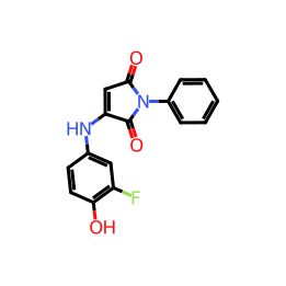 O=C1C=C(Nc2ccc(O)c(F)c2)C(=O)N1c1ccccc1